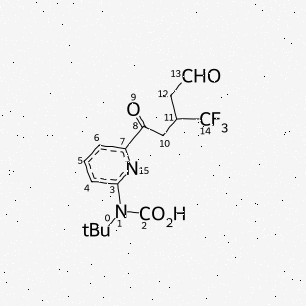 CC(C)(C)N(C(=O)O)c1cccc(C(=O)CC(CC=O)C(F)(F)F)n1